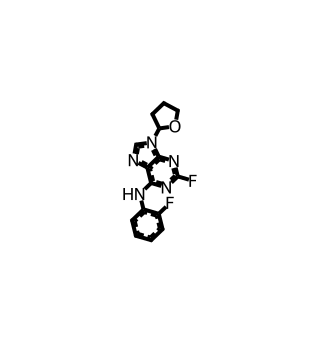 Fc1nc(Nc2ccccc2F)c2ncn(C3CCCO3)c2n1